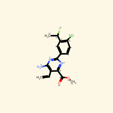 C=Cc1c(N)nc(-c2ccc(Cl)c(C(C)F)c2)nc1C(=O)OC